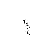 COC(=O)[C@H](OC)[C@H](N)Cc1ccc(-c2cccc(Cl)c2)cc1